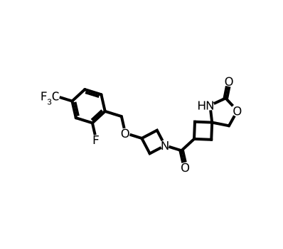 O=C1NC2(CO1)CC(C(=O)N1CC(OCc3ccc(C(F)(F)F)cc3F)C1)C2